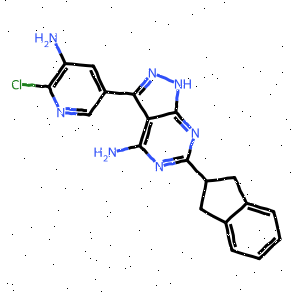 Nc1cc(-c2n[nH]c3nc(C4Cc5ccccc5C4)nc(N)c23)cnc1Cl